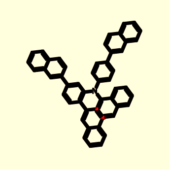 c1ccc2cc(-c3ccc(N(c4cc(-c5ccc6ccccc6c5)ccc4-c4ccc5ccccc5c4)c4cccc5ccccc45)cc3)ccc2c1